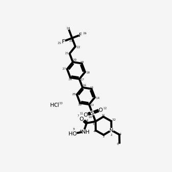 CCN1CCC(C(=O)NO)(S(=O)(=O)c2ccc(-c3ccc(CCC(C)(F)F)cc3)cc2)CC1.Cl